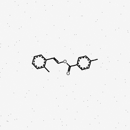 Cc1ccc(C(=O)OC=Cc2ccccc2C)cc1